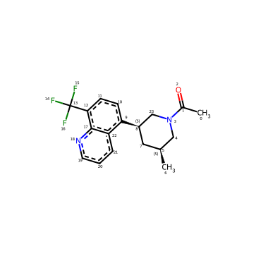 CC(=O)N1C[C@@H](C)C[C@@H](c2ccc(C(F)(F)F)c3ncccc23)C1